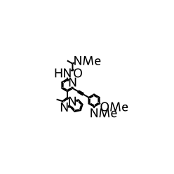 CNc1cc(C#Cc2nc(NC(=O)C(C)NC)ccc2-c2c(C)nc3ccccn23)ccc1OC